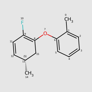 Cc1ccccc1OC1=C(F)C=C[C@@H](C)C1